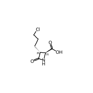 O=C(O)[C@H]1NC(=O)[C@@H]1CCCCl